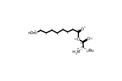 CCCCCCCCCCCCCCCCCC(=O)OC(=O)[C@@H](N)[C@@H](C)CC